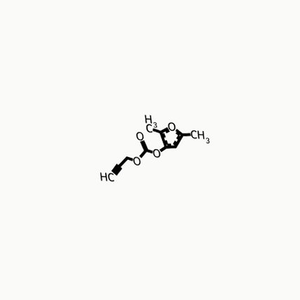 C#CCOC(=O)Oc1cc(C)oc1C